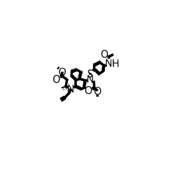 C#CCN(c1ccc(N(CC(=O)OC)Sc2ccc(NC(C)=O)cc2)c2ccccc12)[C@@H](C)CC(=O)OC